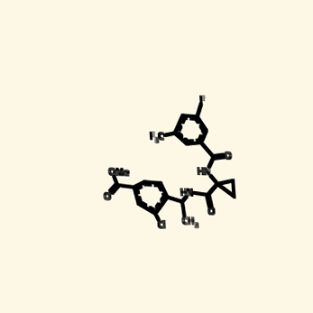 COC(=O)c1ccc(C(C)NC(=O)C2(NC(=O)c3cc(F)cc(C(F)(F)F)c3)CC2)c(Cl)c1